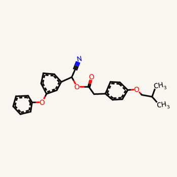 CC(C)COc1ccc(CC(=O)OC(C#N)c2cccc(Oc3ccccc3)c2)cc1